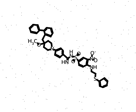 COC1(Cc2ccccc2-c2ccccc2)CCN(c2ccc(C(=N)NS(=O)(=O)c3ccc(NCCSc4ccccc4)c([N+](=O)[O-])c3)cc2)CC1